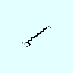 CCCCC=CCCCCCCCC(C)C(=O)O